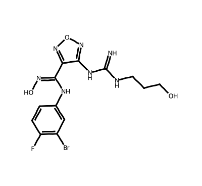 N=C(NCCCO)Nc1nonc1/C(=N/O)Nc1ccc(F)c(Br)c1